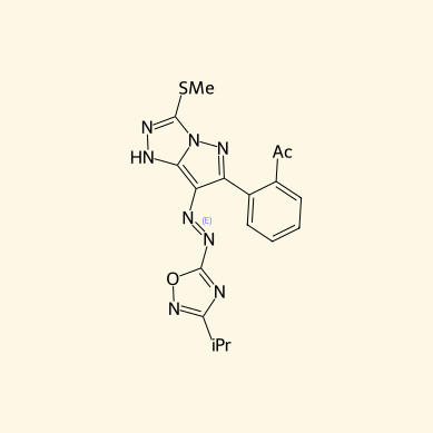 CSc1n[nH]c2c(/N=N/c3nc(C(C)C)no3)c(-c3ccccc3C(C)=O)nn12